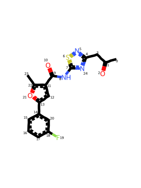 CC(=O)Cc1nsc(NC(=O)c2cc(-c3cccc(F)c3)oc2C)n1